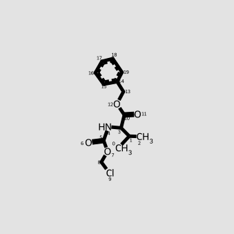 CC(C)C(NC(=O)OCCl)C(=O)OCc1ccccc1